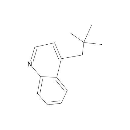 CC(C)(C)Cc1ccnc2ccccc12